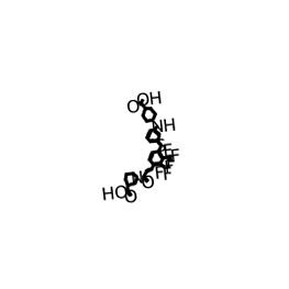 O=C(O)C1CCC(Nc2cccc(Sc3ccc(C=CC(=O)N4CCCC(C(=O)O)C4)c(C(F)(F)F)c3C(F)(F)F)c2)CC1